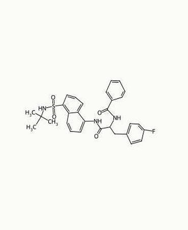 CC(C)(C)NS(=O)(=O)c1cccc2c(NC(=O)C(Cc3ccc(F)cc3)NC(=O)c3ccccc3)cccc12